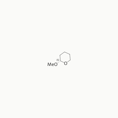 CO[C@@H]1CCCCO1